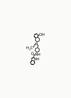 CCCN(CC1CCC(NC(=O)c2cc3ccccc3[nH]2)CC1)C1CCc2c(O)cccc2C1